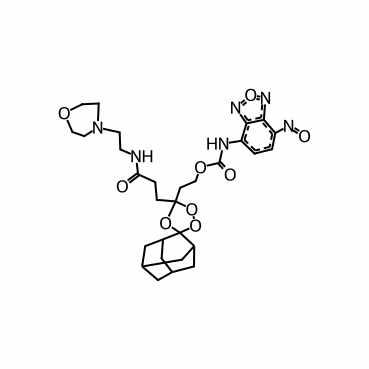 O=Nc1ccc(NC(=O)OCCC2(CCC(=O)NCCN3CCOCC3)OOC3(O2)C2CC4CC(C2)CC3C4)c2nonc12